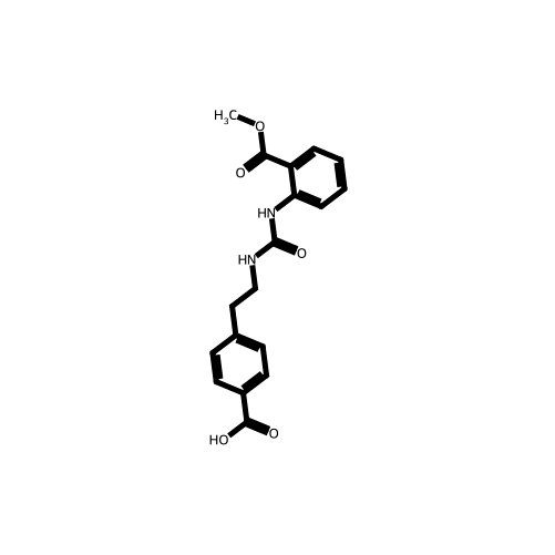 COC(=O)c1ccccc1NC(=O)NCCc1ccc(C(=O)O)cc1